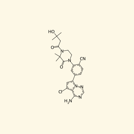 CC(C)(O)CC(=O)N1CCN(c2cc(-c3cc(Cl)c4c(N)ncnn34)ccc2C#N)C(=O)C1(C)C